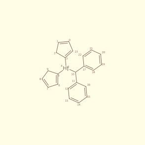 C1=CC[C]([Hf]([C]2=CC=CC2)[CH](c2ccccc2)c2ccccc2)=C1